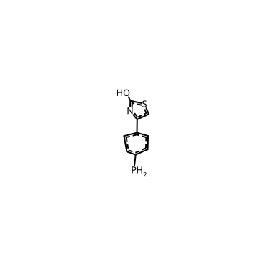 Oc1nc(-c2ccc(P)cc2)cs1